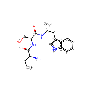 N[C@@H](CC(=O)O)C(=O)N[C@@H](CO)C(=O)N[C@@H](Cc1c[nH]c2ccccc12)C(=O)O